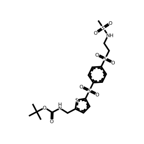 CC(C)(C)OC(=O)NCc1ccc(S(=O)(=O)c2ccc(S(=O)(=O)CCNS(C)(=O)=O)cc2)s1